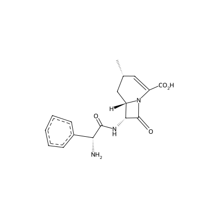 C[C@@H]1C=C(C(=O)O)N2C(=O)[C@H](NC(=O)[C@H](N)c3ccccc3)[C@@H]2C1